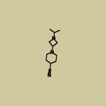 CC(C)N1CC(N2CCC(C#N)CC2)C1